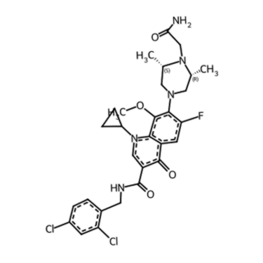 COc1c(N2C[C@@H](C)N(CC(N)=O)[C@@H](C)C2)c(F)cc2c(=O)c(C(=O)NCc3ccc(Cl)cc3Cl)cn(C3CC3)c12